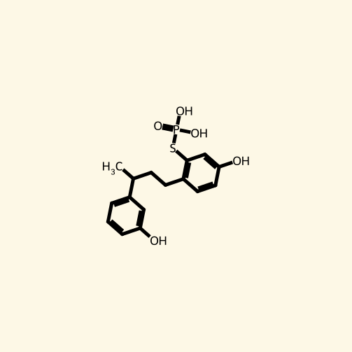 CC(CCc1ccc(O)cc1SP(=O)(O)O)c1cccc(O)c1